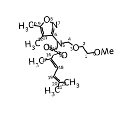 COCCOCN(c1noc(C)c1C)S(=O)(=O)/C(C)=C/C=C(C)C